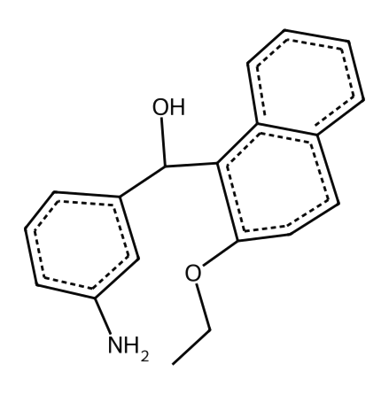 CCOc1ccc2ccccc2c1C(O)c1cccc(N)c1